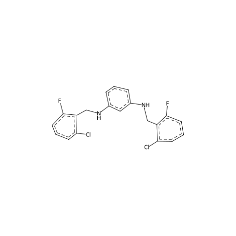 Fc1cccc(Cl)c1CNc1cccc(NCc2c(F)cccc2Cl)c1